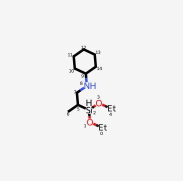 CCO[SiH](OCC)C(C)CNC1CCCCC1